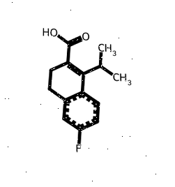 CC(C)C1=C(C(=O)O)CCc2cc(F)ccc21